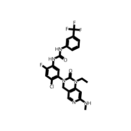 CCN1C(=O)N(c2cc(NC(=O)Nc3cccc(C(F)(F)F)c3)c(F)cc2Cl)Cc2cnc(NC)cc21